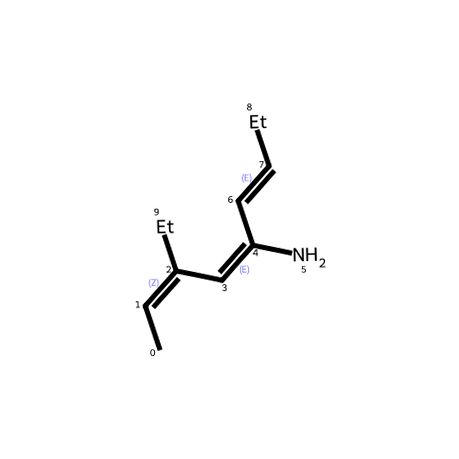 C\C=C(/C=C(N)\C=C\CC)CC